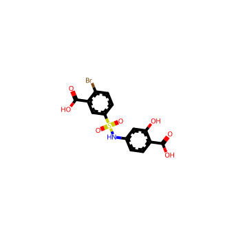 O=C(O)c1ccc(NS(=O)(=O)c2ccc(Br)c(C(=O)O)c2)cc1O